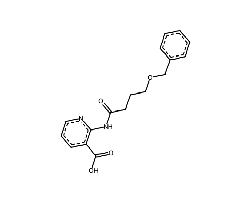 O=C(CCCOCc1ccccc1)Nc1ncccc1C(=O)O